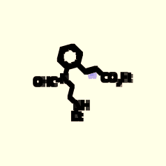 CCNCCN(C=O)c1ccccc1/C=C/C(=O)OCC